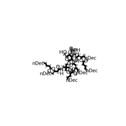 CCCCCCCCCCCCCC(=O)O[C@H](CCCCCCCCCCC)CC(=O)NCC(CO)(CO)CO[C@@H]1O[C@H](CO)[C@@H](OP(=O)(O)O)[C@H](OC(=O)C[C@@H](CCCCCCCCCCC)OC(=O)CCCCCCCCCCCCC)[C@H]1NC(=O)C[C@@H](CCCCCCCCCCC)OC(=O)CCCCCCCCCCCCC